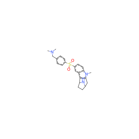 CN(C)Cc1ccc(S(=O)(=O)c2ccc3c(c2)c2c(n3C)CC3CCC2N3)cc1